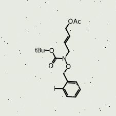 CC(=O)OC/C=C/CN(OCc1ccccc1I)C(=O)OC(C)(C)C